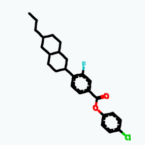 CCCC1CCC2CC(c3ccc(C(=O)Oc4ccc(Cl)cc4)cc3F)CCC2C1